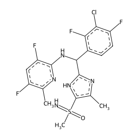 Cc1nc(NC(c2nc(C)c(S(C)(=N)=O)[nH]2)c2ccc(F)c(Cl)c2F)c(F)cc1F